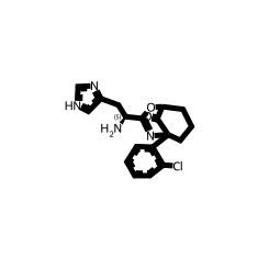 N[C@@H](Cc1c[nH]cn1)C1=NC2(c3ccccc3Cl)CCCC(O1)C2=O